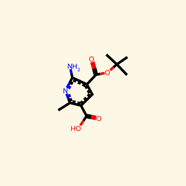 Cc1nc(N)c(C(=O)OC(C)(C)C)cc1C(=O)O